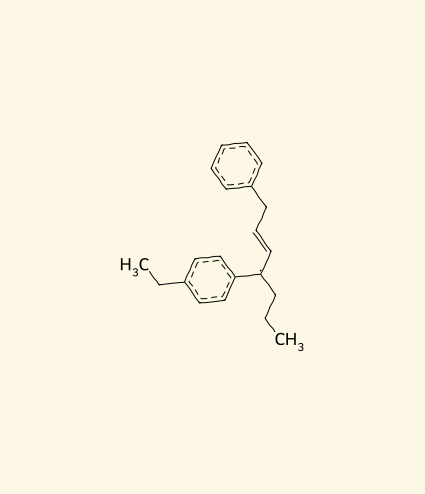 CCC[C](C=CCc1ccccc1)c1ccc(CC)cc1